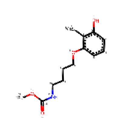 CSc1c(O)cccc1OCCCCNC(=O)OC(C)(C)C